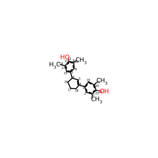 Cc1cc(C2=CC(c3cc(C)c(O)c(C)c3)CCC2)cc(C)c1O